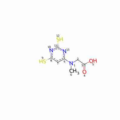 CN(CC(=O)O)c1cc(S)nc(S)n1